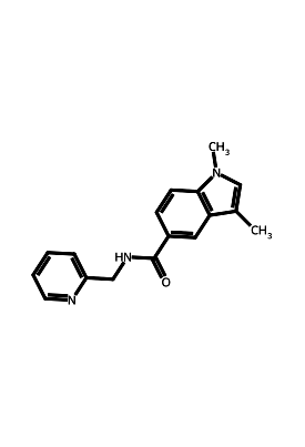 Cc1cn(C)c2ccc(C(=O)NCc3ccccn3)cc12